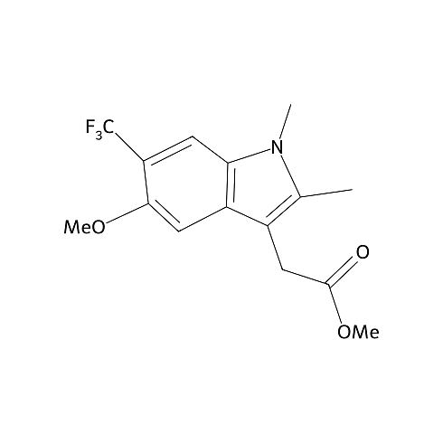 COC(=O)Cc1c(C)n(C)c2cc(C(F)(F)F)c(OC)cc12